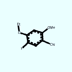 CCOc1cc(OC)c(C#N)cc1F